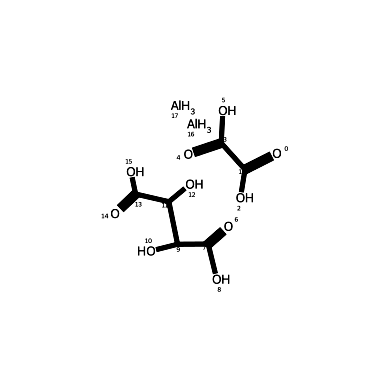 O=C(O)C(=O)O.O=C(O)C(O)C(O)C(=O)O.[AlH3].[AlH3]